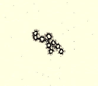 c1ccc(-c2ccc3c4ccccc4n(-c4ccccc4-c4ccc(N(c5ccccc5)c5ccc(-c6cccc7ccccc67)cc5)cc4)c3c2)cc1